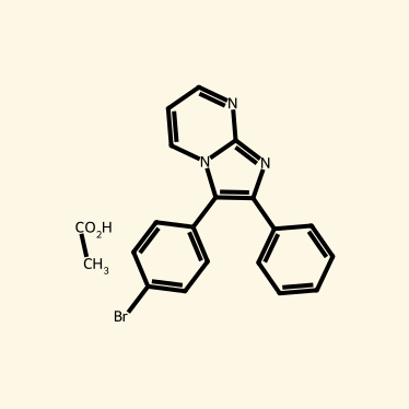 Brc1ccc(-c2c(-c3ccccc3)nc3ncccn23)cc1.CC(=O)O